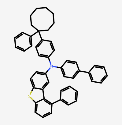 c1ccc(-c2ccc(N(c3ccc(C4(c5ccccc5)CCCCCCC4)cc3)c3ccc4sc5cccc(-c6ccccc6)c5c4c3)cc2)cc1